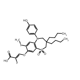 CCCCC1(CCCC)CN(c2ccc(O)cc2)c2cc(SC)c(OC=C(F)C(=O)O)cc2S(=O)(=O)C1